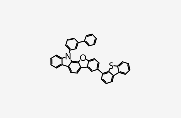 c1ccc(-c2cccc(-n3c4ccccc4c4ccc5c6cc(-c7cccc8c7sc7ccccc78)ccc6oc5c43)c2)cc1